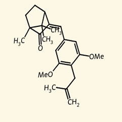 C=C(C)Cc1c(OC)cc(C=C2C(=O)C3(C)CCC2C3(C)C)cc1OC